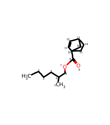 CCCCC(C)COC(=O)C12C=CC(CC1)C2